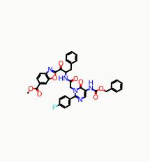 COC(=O)c1ccc2nc(C(=O)C(Cc3ccccc3)NC(=O)Cn3c(-c4ccc(F)cc4)ncc(NC(=O)OCc4ccccc4)c3=O)oc2c1